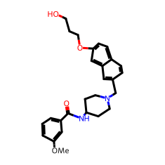 COc1cccc(C(=O)NC2CCN(Cc3ccc4ccc(OCCCO)cc4c3)CC2)c1